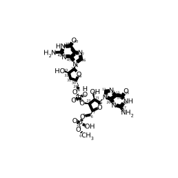 COP(=O)(O)OC[C@H]1O[C@@H](n2cnc3c(=O)[nH]c(N)nc32)[C@H](O)[C@@H]1OP(=O)(O)OC[C@@H]1C[C@@H](O)[C@H](n2cnc3c(=O)[nH]c(N)nc32)O1